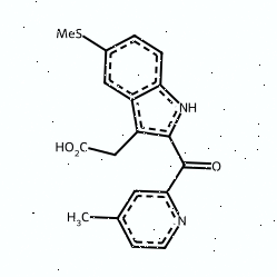 CSc1ccc2[nH]c(C(=O)c3cc(C)ccn3)c(CC(=O)O)c2c1